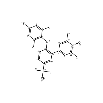 Cc1cc(F)cc(C)c1Oc1ccc(C(C)(C)O)cc1-c1cc(C)[n+]([O-])c(C)c1